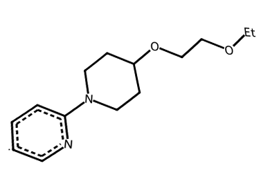 CCOCCOC1CCN(c2cc[c]cn2)CC1